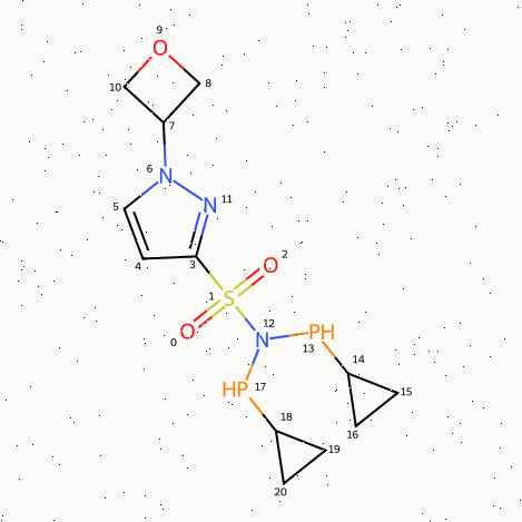 O=S(=O)(c1ccn(C2COC2)n1)N(PC1CC1)PC1CC1